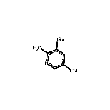 CC(C)(C)c1cc(C#N)cnc1C(F)(F)F